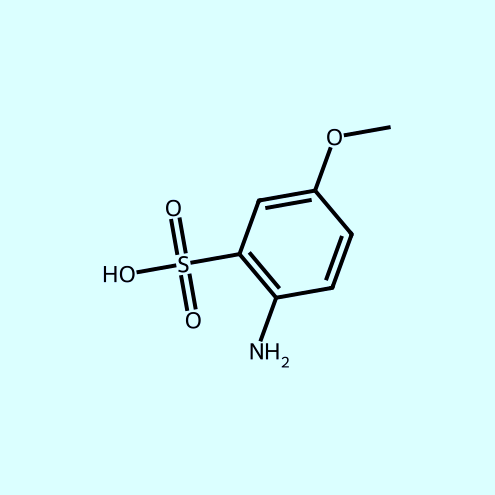 COc1ccc(N)c(S(=O)(=O)O)c1